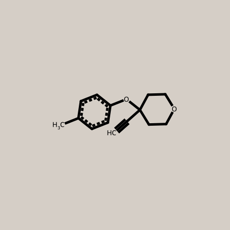 C#CC1(Oc2ccc(C)cc2)CCOCC1